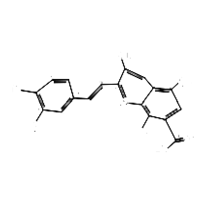 Cc1cc2c(C)cc(C(=O)O)c(O)c2nc1/C=C/c1ccc(O)c(O)c1